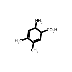 CC1=CC(N)C(C(=O)O)C=C1C